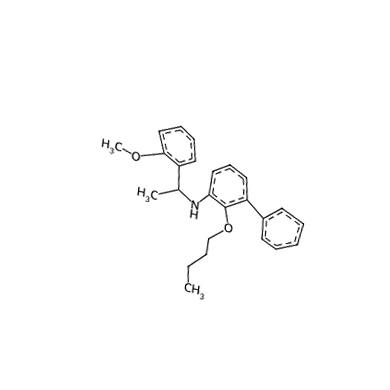 CCCCOc1c(NC(C)c2ccccc2OC)cccc1-c1ccccc1